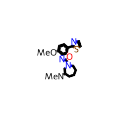 CNC1CCCCN(c2nc3c(OC)ccc(-c4nccs4)c3o2)C1